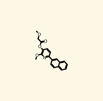 COCC(=O)Oc1ccc(-c2ccc3ccccc3c2)nc1OC